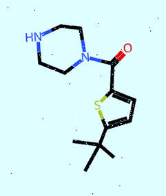 CC(C)(C)c1ccc(C(=O)N2CCNCC2)s1